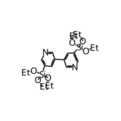 CCO[Si](OCC)(OCC)c1cncc(-c2cncc([Si](OCC)(OCC)OCC)c2)c1